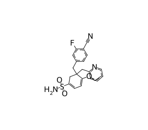 CCOC1=CC=C(S(N)(=O)=O)CC1(Cc1ccc(C#N)c(F)c1)Cc1ccccn1